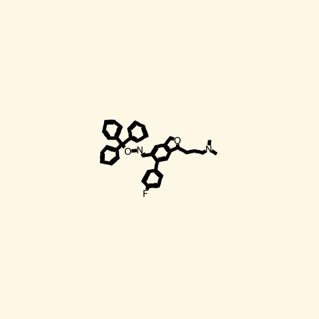 CN(C)CCCC1OCc2cc(C=NOC(c3ccccc3)(c3ccccc3)c3ccccc3)c(-c3ccc(F)cc3)cc21